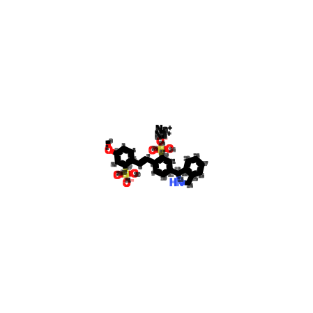 COc1ccc(/C=C/c2ccc(C3NCc4ccccc43)cc2S(=O)(=O)[O-])c(S(=O)(=O)[O-])c1.[Na+].[Na+]